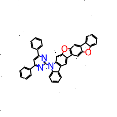 c1ccc(-c2cc(-c3ccccc3)nc(-n3c4ccccc4c4cc5c(cc43)oc3cc4c(cc35)oc3ccccc34)n2)cc1